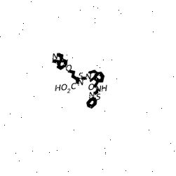 O=C(Nc1nc2ccccc2s1)c1cccc2c1CN(c1nc(C(=O)O)c(CCCOc3ccc4cnccc4c3)s1)CC2